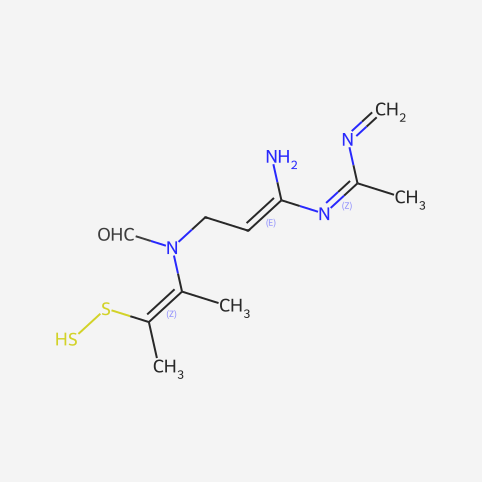 C=N/C(C)=N\C(N)=C\CN(C=O)/C(C)=C(/C)SS